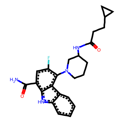 NC(=O)c1cc(F)c(N2CCCC(NC(=O)CCC3CC3)C2)c2c1[nH]c1ccccc12